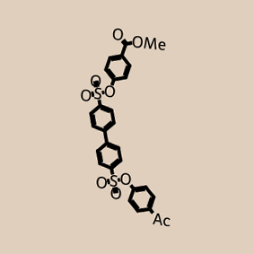 COC(=O)c1ccc(OS(=O)(=O)c2ccc(-c3ccc(S(=O)(=O)Oc4ccc(C(C)=O)cc4)cc3)cc2)cc1